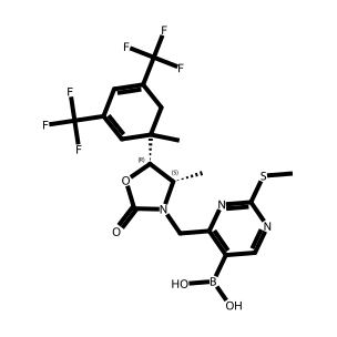 CSc1ncc(B(O)O)c(CN2C(=O)O[C@H](C3(C)C=C(C(F)(F)F)C=C(C(F)(F)F)C3)[C@@H]2C)n1